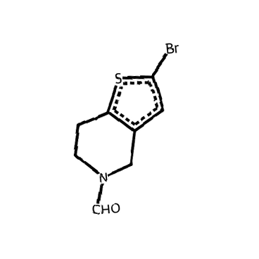 O=CN1CCc2sc(Br)cc2C1